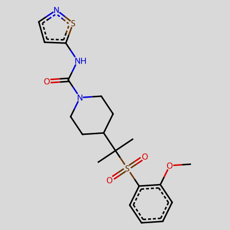 COc1ccccc1S(=O)(=O)C(C)(C)C1CCN(C(=O)Nc2ccns2)CC1